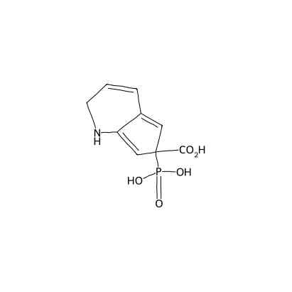 O=C(O)C1(P(=O)(O)O)C=C2C=CCNC2=C1